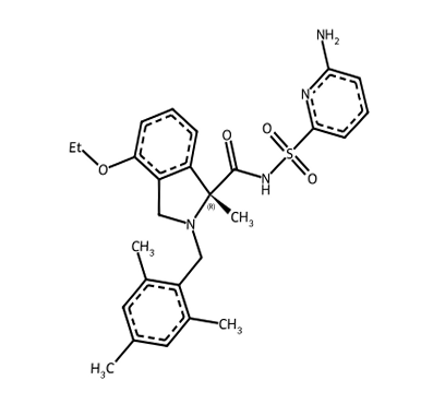 CCOc1cccc2c1CN(Cc1c(C)cc(C)cc1C)[C@@]2(C)C(=O)NS(=O)(=O)c1cccc(N)n1